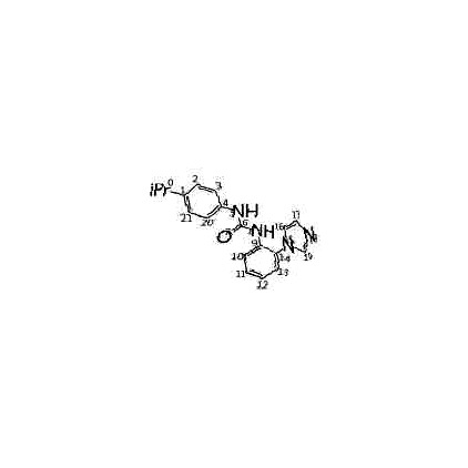 CC(C)c1ccc(NC(=O)Nc2ccccc2-n2ccnc2)cc1